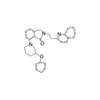 O=C1c2c(cccc2N2CCCC(Oc3ccccc3)C2)CN1CCc1ccc2ccccc2n1